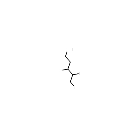 OCCC(O)C(F)CF